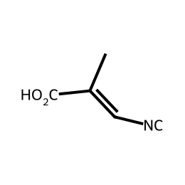 [C-]#[N+]/C=C(\C)C(=O)O